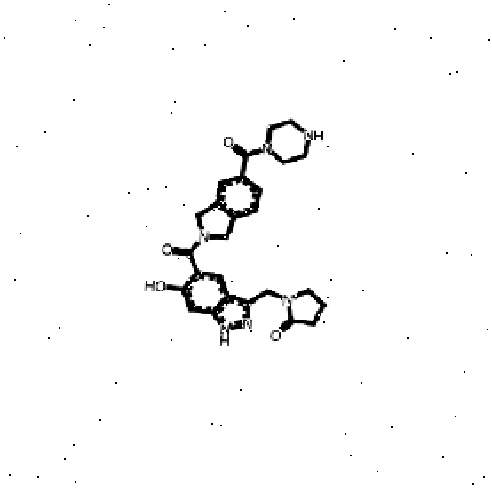 O=C1CCCN1Cc1n[nH]c2cc(O)c(C(=O)N3Cc4ccc(C(=O)N5CCNCC5)cc4C3)cc12